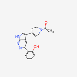 CC(=O)N1CC=C(c2c[nH]c3nnc(-c4ccccc4O)cc23)CC1